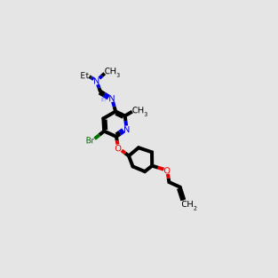 C=CCOC1CCC(Oc2nc(C)c(/N=C/N(C)CC)cc2Br)CC1